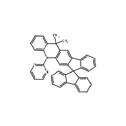 CC1(C)c2ccccc2N(c2ncccn2)c2cc3c(cc21)-c1ccccc1C31C2=CCCC=C2c2ccccc21